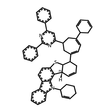 C1=CCC(C2=CC=C(C3CC=C[C@@H]4c5c(ccc6c7ccccc7n(C7C=CCCC7)c56)SC34)CC(c3cc(-c4ccccc4)nc(-c4ccccc4)n3)C2)C=C1